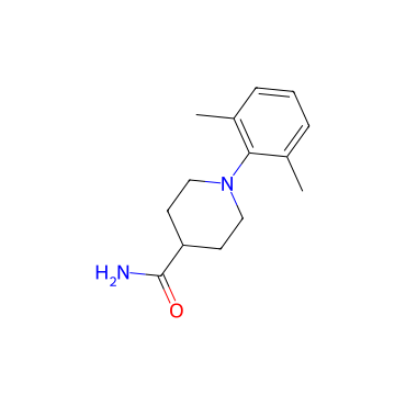 Cc1cccc(C)c1N1CCC(C(N)=O)CC1